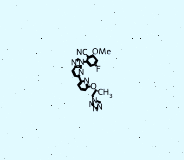 COc1cc(F)cc(-n2cnc3ccc(-c4cccc(O[C@@H](C)Cn5cnnn5)n4)nc32)c1C#N